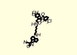 COc1ccc2c(c1)c(CC(=O)NCCCCCCNc1ccc3c4c(cccc14)C1=NC(=O)C(C#N)=C13)c(C)n2C(=O)c1ccc(Cl)cc1